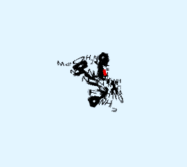 CN(C)c1nccc(-c2n[nH]c3nc(N4CC[C@@H]5[C@H](C4)[C@@]5(CN)c4ccccc4F)cnc23)c1Cl.COc1ccc2c(-c3n[nH]c4nc(N5CC[C@@H]6[C@H](C5)[C@@]6(CN)c5ccccc5F)cnc34)ccnc2c1